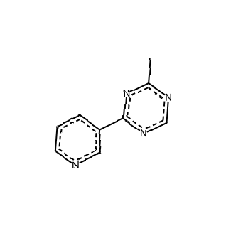 Cc1ncnc(-c2cccnc2)n1